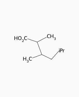 CC(C)CC(C)C(C)C(=O)O